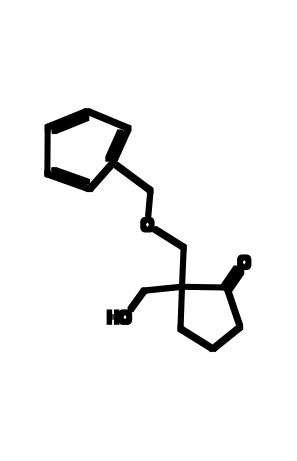 O=C1CCCC1(CO)COCc1ccccc1